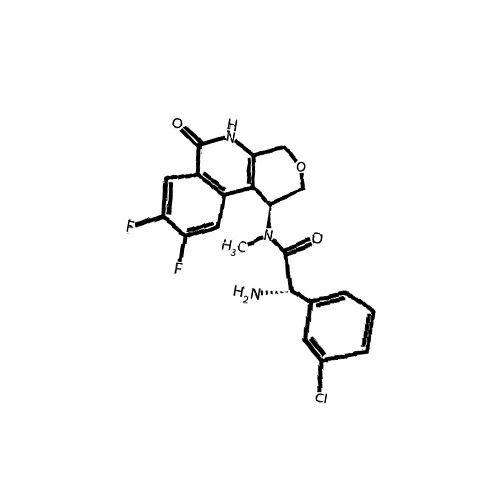 CN(C(=O)[C@@H](N)c1cccc(Cl)c1)[C@@H]1COCc2[nH]c(=O)c3cc(F)c(F)cc3c21